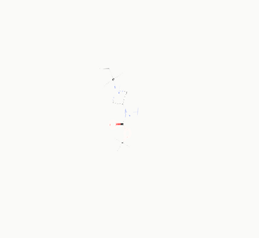 CCC(C)(C)N1CC(NC(=O)OC(C)(C)C)C1